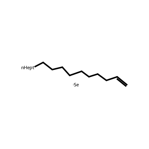 C=CCCCCCCCCCCCCCCC.[Se]